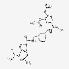 CC(=O)Oc1c#cc(C(=O)NCC2CCCC(CN/C(=C\O)c3ccc(OC(C)=O)c(OC(C)=O)c3)C2)cc1OC(C)=O